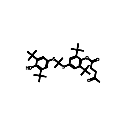 CC(=O)CCC(=O)Oc1c(C(C)(C)C)cc(SC(C)(C)Sc2cc(C(C)(C)C)c(O)c(C(C)(C)C)c2)cc1C(C)(C)C